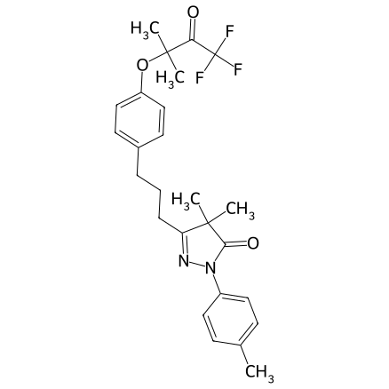 Cc1ccc(N2N=C(CCCc3ccc(OC(C)(C)C(=O)C(F)(F)F)cc3)C(C)(C)C2=O)cc1